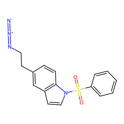 [N-]=[N+]=NCCc1ccc2c(ccn2S(=O)(=O)c2ccccc2)c1